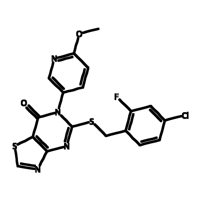 COc1ccc(-n2c(SCc3ccc(Cl)cc3F)nc3ncsc3c2=O)cn1